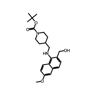 COc1ccc2c(NCC3CCN(C(=O)OC(C)(C)C)CC3)c(CO)ccc2c1